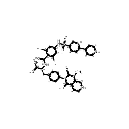 Cn1c(=O)n(-c2ccc(C[C@H](NC(=O)c3c(F)cc(NS(=O)(=O)c4ccc(-c5ccncc5)nc4)cc3F)C(=O)O)cc2)c(=O)c2ccncc21